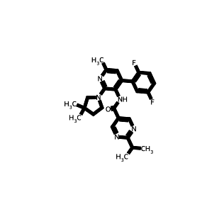 Cc1cc(-c2cc(F)ccc2F)c(NC(=O)c2cnc(C(C)C)nc2)c(N2CCC(C)(C)C2)n1